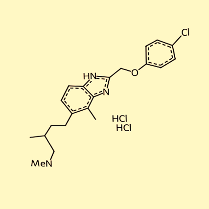 CNCC(C)CCc1ccc2[nH]c(COc3ccc(Cl)cc3)nc2c1C.Cl.Cl